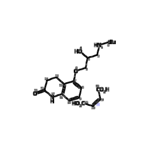 CC(C)(C)NCC(O)COc1cccc2c1CCC(=O)N2.O=C(O)/C=C\C(=O)O